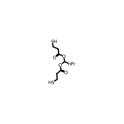 CCCC(OC(=O)CCS)OC(=O)CCS